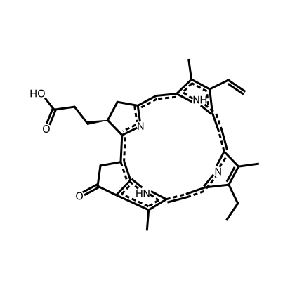 C=Cc1c(C)c2cc3nc(c4c5[nH]c(cc6nc(cc1[nH]2)C(C)=C6CC)c(C)c5C(=O)C4)[C@@H](CCC(=O)O)C3